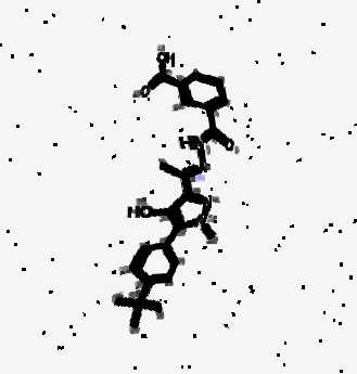 C/C(=N\NC(=O)c1cccc(C(=O)O)c1)c1nn(C)c(-c2ccc(C(C)(C)C)cc2)c1O